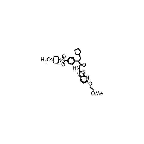 COCCOc1ccc2nc(NC(=O)C(CC3CCCC3)c3ccc(S(=O)(=O)N4CCN(C)CC4)cc3)sc2n1